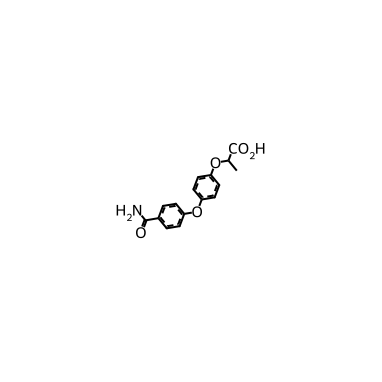 CC(Oc1ccc(Oc2ccc(C(N)=O)cc2)cc1)C(=O)O